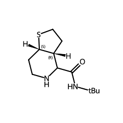 CC(C)(C)NC(=O)C1NCC[C@@H]2SCC[C@H]12